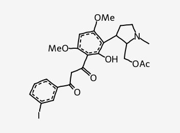 COc1cc(OC)c(C2CCN(C)C2COC(C)=O)c(O)c1C(=O)CC(=O)c1cccc(I)c1